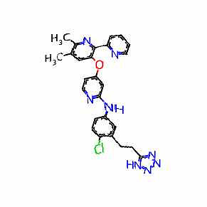 Cc1cc(Oc2ccnc(Nc3ccc(Cl)c(CCc4nnn[nH]4)c3)c2)c(-c2ccccn2)nc1C